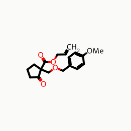 C=CCOC(=O)C1(COCc2ccc(OC)cc2)CCCC1=O